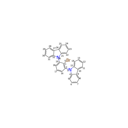 Brc1c(-n2c3ccccc3c3ccccc32)cccc1-n1c2ccccc2c2ccccc21